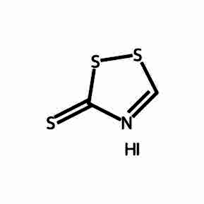 I.S=c1ncss1